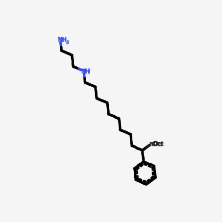 CCCCCCCCC(CCCCCCCCCNCCCN)c1ccccc1